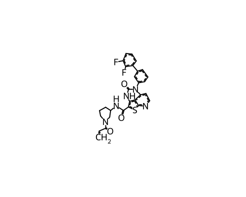 C=CC(=O)N1CCCC(NC(=O)c2sc3nccc4c3c2NC(=O)N4c2cccc(-c3cccc(F)c3F)c2)C1